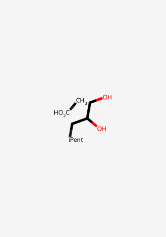 CC(=O)O.CCCC(C)CC(O)CO